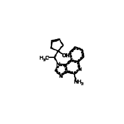 CC(n1cnc2c(N)nc3ccccc3c21)C1(O)CC=CC1